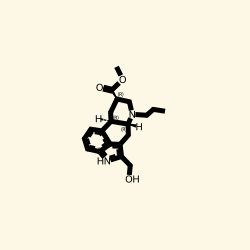 CCCN1C[C@H](C(=O)OC)C[C@@H]2c3cccc4[nH]c(CO)c(c34)C[C@H]21